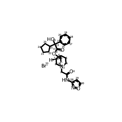 O=C(C[N+]12CCC(CC1)[C@@H](OC(=O)C(O)(c1ccccc1)C1CCCC1)C2)Nc1ccon1.[Br-]